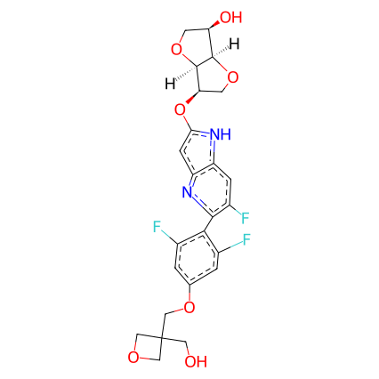 OCC1(COc2cc(F)c(-c3nc4cc(O[C@@H]5CO[C@H]6[C@@H]5OC[C@H]6O)[nH]c4cc3F)c(F)c2)COC1